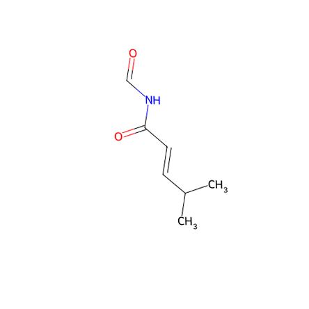 CC(C)C=CC(=O)NC=O